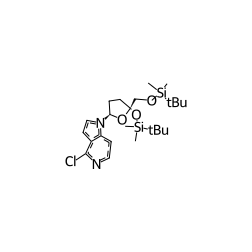 CC(C)(C)[Si](C)(C)OC[C@]1(O[Si](C)(C)C(C)(C)C)CC[C@H](n2ccc3c(Cl)nccc32)O1